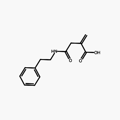 C=C(CC(=O)NCCc1ccccc1)C(=O)O